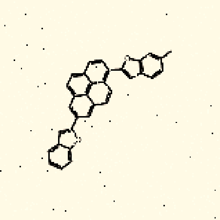 Cc1ccc2cc(-c3ccc4ccc5cc(-c6cc7ccccc7o6)cc6ccc3c4c56)oc2c1